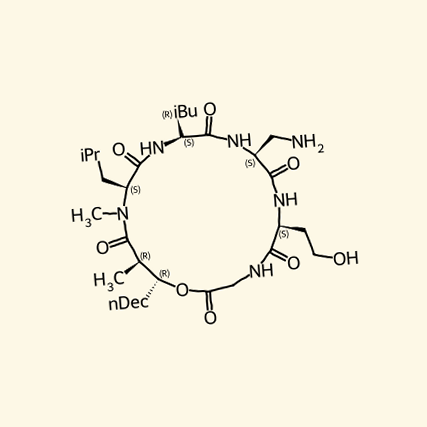 CCCCCCCCCC[C@H]1OC(=O)CNC(=O)[C@H](CCO)NC(=O)[C@H](CN)NC(=O)[C@H]([C@H](C)CC)NC(=O)[C@H](CC(C)C)N(C)C(=O)[C@@H]1C